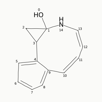 OC12CC1c1ccccc1C=CC=CN2